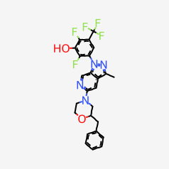 Cc1nn(-c2cc(C(F)(F)F)c(F)c(O)c2F)c2cnc(N3CCOC(Cc4ccccc4)C3)cc12